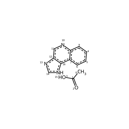 CC(=O)O.c1ccc2c(c1)ncc1nc[nH]c12